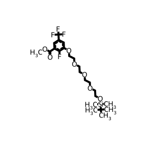 COC(=O)c1cc(C(F)(F)F)cc(OCCOCCOCCOCCO[Si](C)(C)C(C)(C)C)c1F